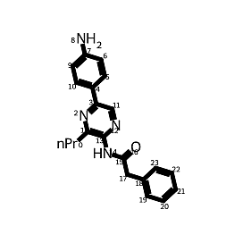 CCCc1nc(-c2ccc(N)cc2)cnc1NC(=O)Cc1ccccc1